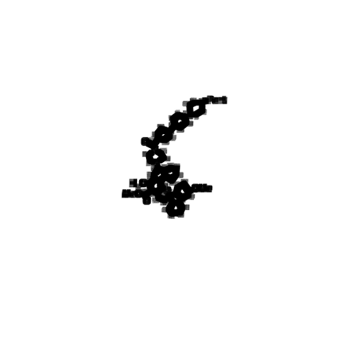 CCCCC[C@H]1CC[C@H](c2ccc(-c3ccc(C(=O)N4CCN(c5cc6c(C)c(C(=O)OC)c7c(c6c6ccccc56)OC(c5ccccc5)(c5ccc(OC)cc5)C=C7)CC4)cc3)cc2)CC1